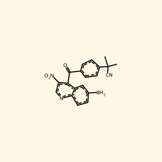 Bc1ccc2ncc([N+](=O)[O-])c(C(=O)c3ccc(C(C)(C)C#N)cc3)c2c1